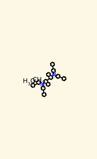 CC1(C)c2ccccc2-c2cc(N(c3ccc(-c4ccccc4)cc3)c3ccc(-c4ccc(N(c5ccc(-c6ccccc6)cc5)c5ccc(-c6ccccc6)cc5)c5ccccc45)c4ccccc34)ccc21